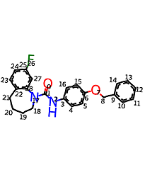 O=C(Nc1ccc(OCc2ccccc2)cc1)N1CCCCc2ccc(F)cc21